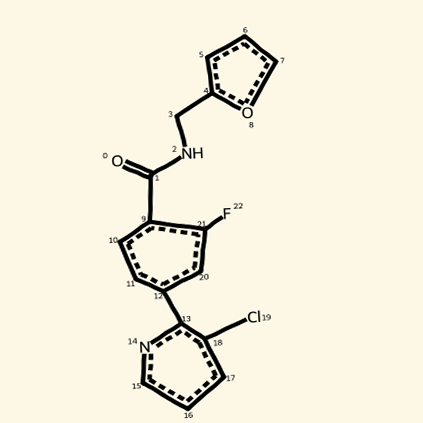 O=C(NCc1ccco1)c1ccc(-c2ncccc2Cl)cc1F